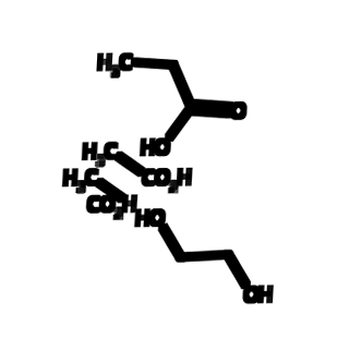 CC(=O)O.CC(=O)O.CCC(=O)O.OCCO